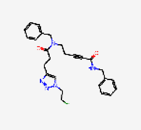 O=C(C#CCCN(Cc1ccccc1)C(=O)CCc1cn(CCF)nn1)NCc1ccccc1